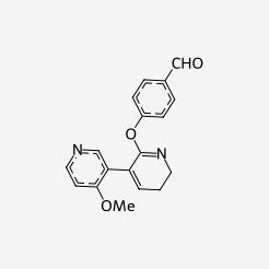 COc1ccncc1C1=CCCN=C1Oc1ccc(C=O)cc1